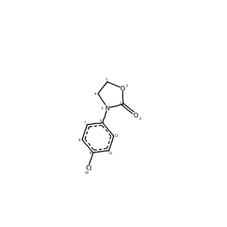 O=C1O[CH]CN1c1ccc(Cl)cc1